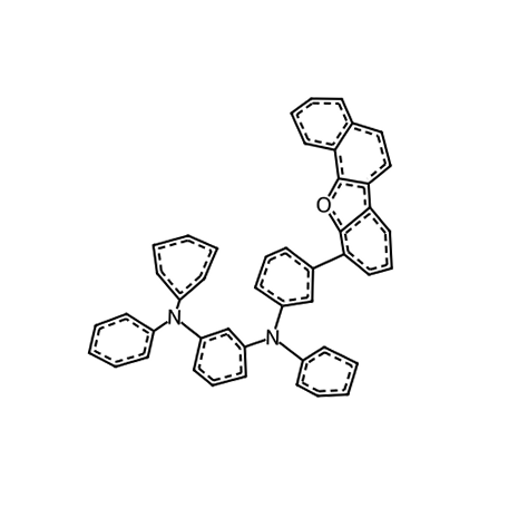 c1ccc(N(c2ccccc2)c2cccc(N(c3ccccc3)c3cccc(-c4cccc5c4oc4c6ccccc6ccc54)c3)c2)cc1